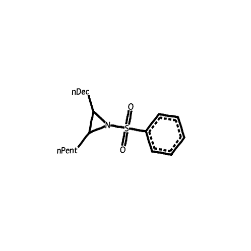 CCCCCCCCCCC1C(CCCCC)N1S(=O)(=O)c1ccccc1